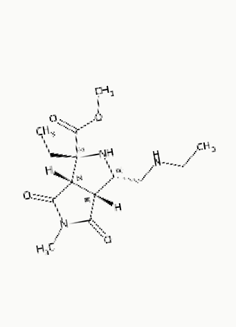 CCNC[C@H]1N[C@@](CC)(C(=O)OC)[C@H]2C(=O)N(C)C(=O)[C@@H]12